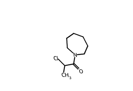 CC(Cl)C(=O)N1CCCCCC1